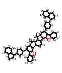 CC1(C)c2cc(-c3ccc(-c4cccc5ccccc45)cc3)c3c(oc4ccccc43)c2-c2ccc3c(c21)C(C)(C)c1cc(-c2ccc(-c4cccc5ccccc45)cc2)c2c(oc4ccccc42)c1-3